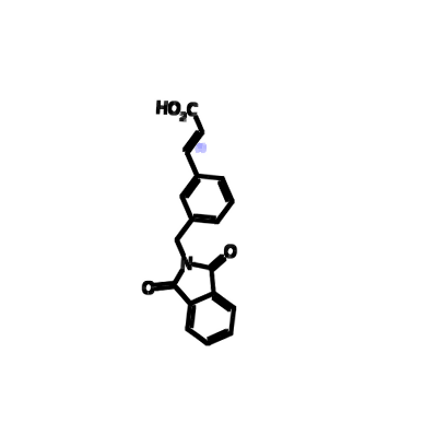 O=C(O)/C=C/c1cccc(CN2C(=O)c3ccccc3C2=O)c1